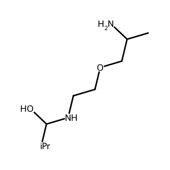 CC(N)COCCNC(O)C(C)C